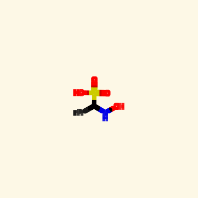 CCCC(NO)S(=O)(=O)O